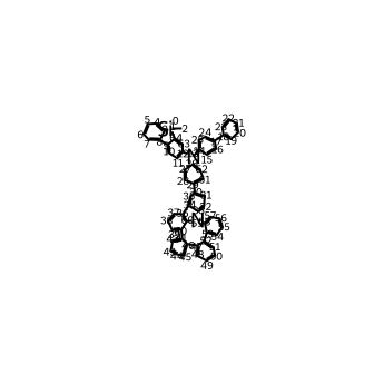 C[Si]1(C)c2ccccc2-c2ccc(N(c3ccc(-c4ccccc4)cc3)c3ccc(-c4ccc5c(c4)c4cccc6c7ccccc7c7ccccc7c7ccccc7n5c64)cc3)cc21